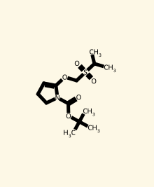 CC(C)S(=O)(=O)COC1=CCCN1C(=O)OC(C)(C)C